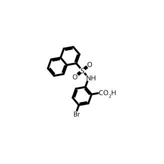 O=C(O)c1cc(Br)ccc1NS(=O)(=O)c1cccc2ccccc12